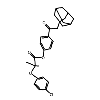 CC(C)(Oc1ccc(Cl)cc1)C(=O)Oc1ccc(C(=O)CC23CC4CC(CC(C4)C2)C3)cc1